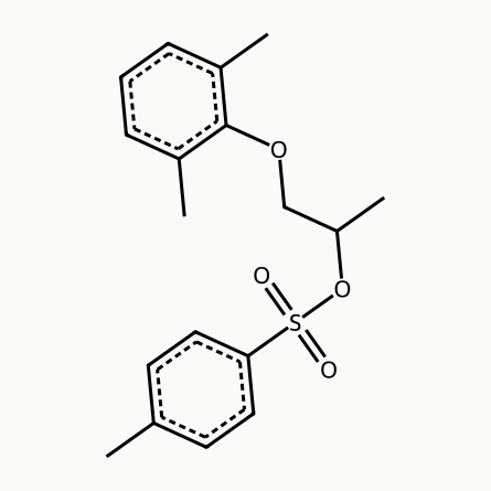 Cc1ccc(S(=O)(=O)OC(C)COc2c(C)cccc2C)cc1